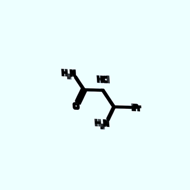 CC(C)C(N)CC(N)=O.Cl